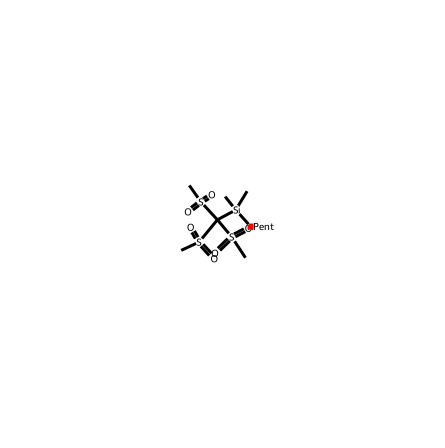 CCCCC[Si](C)(C)C(S(C)(=O)=O)(S(C)(=O)=O)S(C)(=O)=O